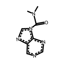 CN(C)C(=O)n1cnc2cncnc21